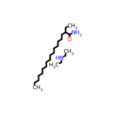 CCCCCCCCCCCCCCCCC(CC)C(N)=O.CCNCC